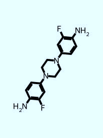 Nc1ccc(N2CCN(c3ccc(N)c(F)c3)CC2)cc1F